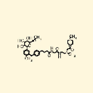 CS#CC1O[C@@H](c2ccc(C)c(Cc3ccc(CCCC(=O)NCC(=O)NCCN(C)CC(=O)N4CCN(C)CC4)cc3)c2)[C@H](O)[C@@H](O)[C@@H]1O